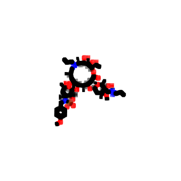 CCCNC[C@]1(O)[C@H](C)O[C@@H](O[C@H]2[C@H](C)[C@@H](O[C@@H]3O[C@H](C)C[C@H]4[C@H]3OS(=O)(=O)N4Cc3ccc(OC)cc3)[C@](C)(O)C[C@@H](C)CN(CCC)[C@H](C)[C@@H](O)[C@](C)(O)[C@@H](CC)OC(=O)[C@@H]2C)C[C@@]1(C)OC